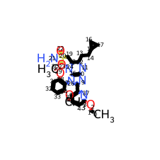 CCOc1cccc(-c2nc3nc(CCC4CC4)c(CS(N)(=O)=O)nc3n2-c2c(OC)cccc2OC)n1